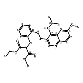 CCOC(=O)C(Cc1ccccc1OCc1cnc2ccc(OC)cc2c1OC(C)C)C(=O)CC